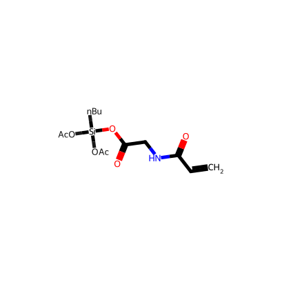 C=CC(=O)NCC(=O)O[Si](CCCC)(OC(C)=O)OC(C)=O